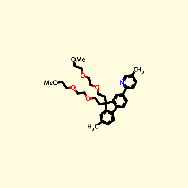 COCCOCCOCCC1(CCOCCOCCOC)c2cc(C)ccc2-c2ccc(-c3ccc(C)cn3)cc21